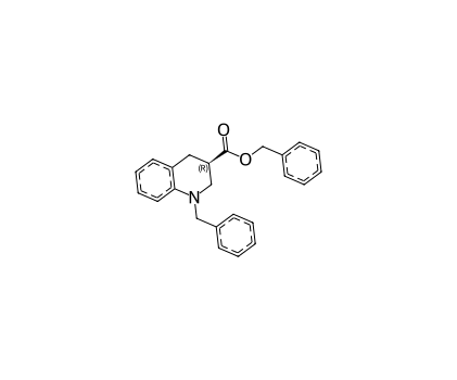 O=C(OCc1ccccc1)[C@@H]1Cc2ccccc2N(Cc2ccccc2)C1